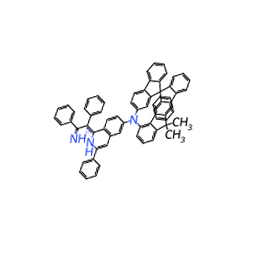 CC1(C)c2ccccc2-c2c(N(c3ccc4c(c3)C=C(c3ccccc3)N/C4=C(\C(=N)c3ccccc3)c3ccccc3)c3ccc4c(c3)C3(c5ccccc5-c5ccccc53)c3ccccc3-4)cccc21